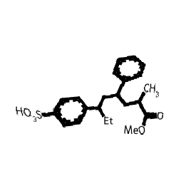 CCC(CC(CC(C)C(=O)OC)c1ccccc1)c1ccc(S(=O)(=O)O)cc1